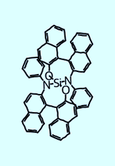 c1ccc(N2c3ccc4ccccc4c3-c3c(ccc4ccccc34)O[Si]23Oc2ccc4ccccc4c2-c2c(ccc4ccccc24)N3c2ccccc2)cc1